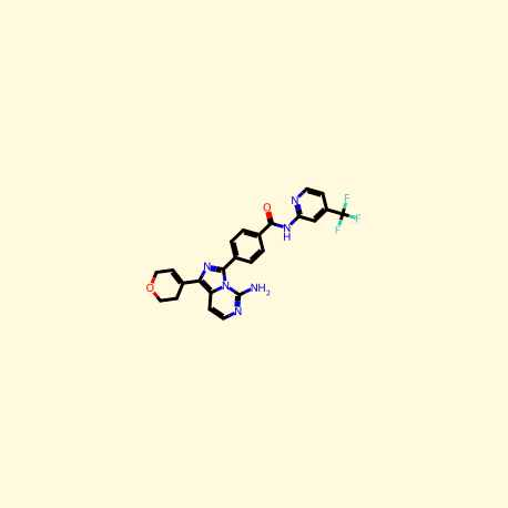 Nc1nccc2c(C3=CCOCC3)nc(-c3ccc(C(=O)Nc4cc(C(F)(F)F)ccn4)cc3)n12